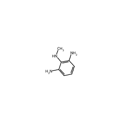 CNc1c(N)cccc1N